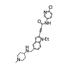 CCn1c(C#CC(=O)Nc2ccc(Cl)nc2)cc2cc(CNC3CCN(C)CC3)ccc21